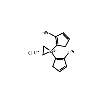 CCCC1=[C]([Zr+2]2([C]3=C(CCC)C=CC3)[CH2][CH2]2)CC=C1.[Cl-].[Cl-]